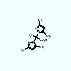 Cc1cc(C)n(C(C)(C(=O)O)n2nc(C)cc2C)n1